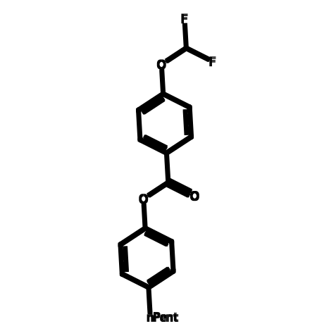 CCCCCc1ccc(OC(=O)c2ccc(OC(F)F)cc2)cc1